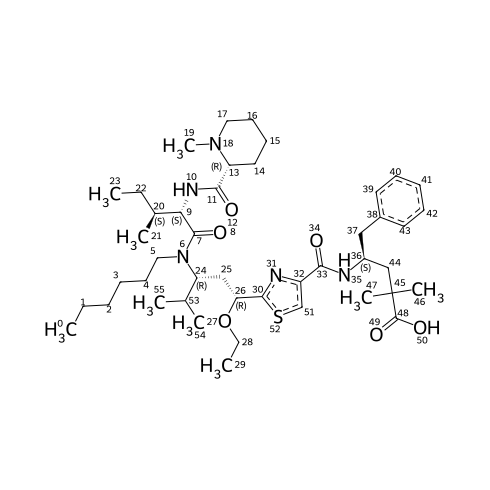 CCCCCCN(C(=O)[C@@H](NC(=O)[C@H]1CCCCN1C)[C@@H](C)CC)[C@H](C[C@@H](OCC)c1nc(C(=O)N[C@@H](Cc2ccccc2)CC(C)(C)C(=O)O)cs1)C(C)C